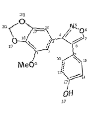 COc1cc(-c2nocc2-c2ccc(O)cc2)cc2c1OCO2